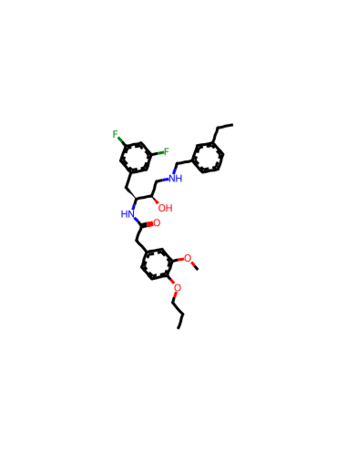 CCCOc1ccc(CC(=O)N[C@@H](Cc2cc(F)cc(F)c2)[C@H](O)CNCc2cccc(CC)c2)cc1OC